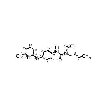 CCCCN(SC)C(=O)Nc1ccc(Oc2cccc(Cl)n2)cc1